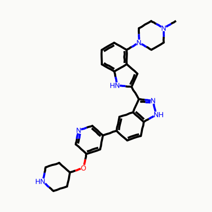 CN1CCN(c2cccc3[nH]c(-c4n[nH]c5ccc(-c6cncc(OC7CCNCC7)c6)cc45)cc23)CC1